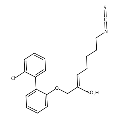 O=S(=O)(O)C(=CCCCCN=C=S)COc1ccccc1-c1ccccc1Cl